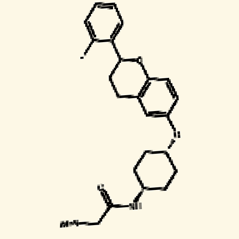 CSCC(=O)N[C@H]1CC[C@H](Oc2ccc3c(c2)CCC(c2ccccc2F)O3)CC1